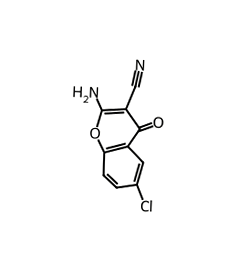 N#Cc1c(N)oc2ccc(Cl)cc2c1=O